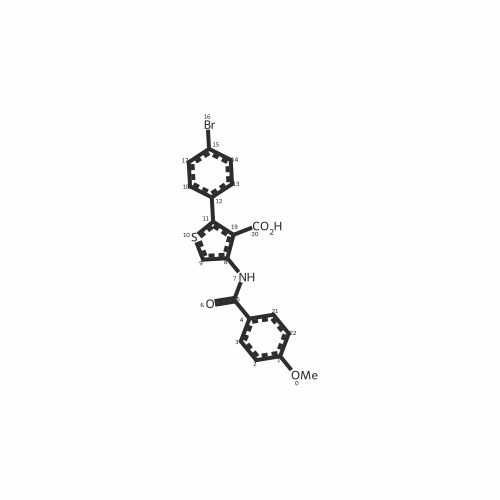 COc1ccc(C(=O)Nc2csc(-c3ccc(Br)cc3)c2C(=O)O)cc1